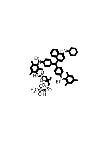 CCN(c1ccc(C(=C2C=CC(=[N+](CC)c3c(C)cc(C)c(NS(=O)(=O)CC(F)(F)CS(=O)(=O)NS(=O)(=O)C(F)(F)F)c3C)C=C2)c2ccc(NC3CCCCC3)c3ccccc23)cc1)c1c(C)cc(C)cc1C